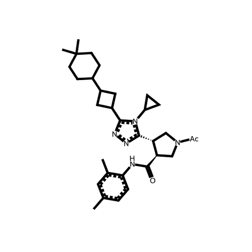 CC(=O)N1C[C@@H](C(=O)Nc2ccc(C)cc2C)[C@H](c2nnc(C3CC(C4CCC(C)(C)CC4)C3)n2C2CC2)C1